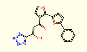 O=C(C=C(O)c1nn[nH]n1)c1ccoc1-c1ccc(-c2ccccc2)s1